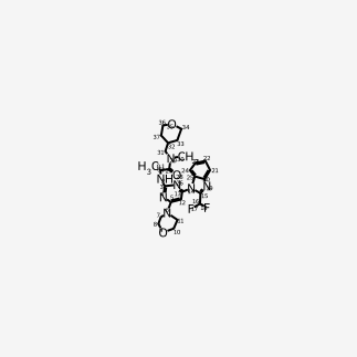 C[C@H](Nc1nc(N2CCOCC2)cc(-n2c(C(F)F)nc3ccccc32)n1)C(=O)N(C)CC1CCOCC1